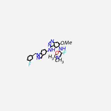 COc1cc2ncnc(Nc3ccc4c(cnn4Cc4cccc(F)c4)c3)c2cc1NC(=O)/C(F)=C\N(C)C